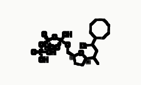 CCC(CC(C)[C@H]1CC[C@@H](COP(=O)(O)OP(=O)(O)OP(=O)(O)O)O1)C1CCCCCCC1